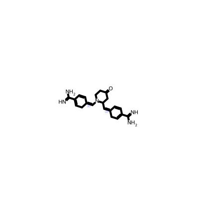 N=C(N)C1=CC/C(=C/C2CC(=O)CCN2/C=C2\C=CC(C(=N)N)=CC2)C=C1